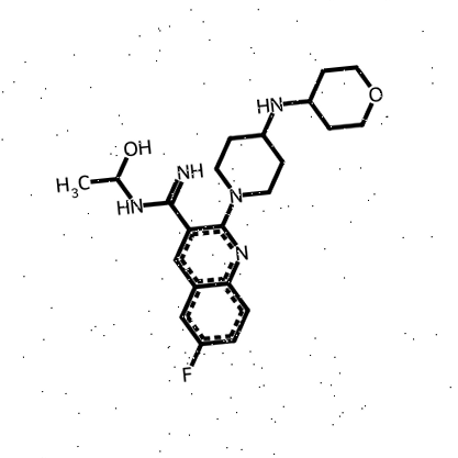 CC(O)NC(=N)c1cc2cc(F)ccc2nc1N1CCC(NC2CCOCC2)CC1